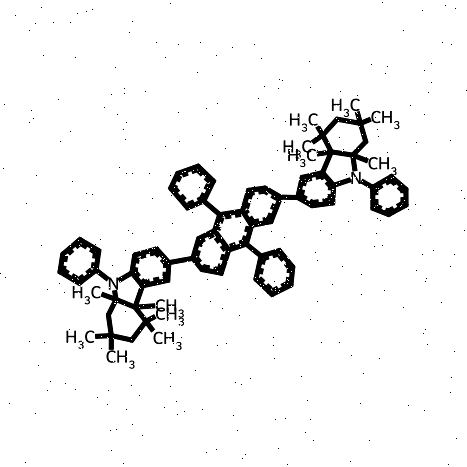 CC1(C)CC(C)(C)C2(C)c3cc(-c4ccc5c(-c6ccccc6)c6cc(-c7ccc8c(c7)C7(C)C(C)(C)CC(C)(C)CC7(C)N8c7ccccc7)ccc6c(-c6ccccc6)c5c4)ccc3N(c3ccccc3)C2(C)C1